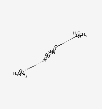 C=C(C)C(=O)OCCCCCCCCCCCCCCCCCCCOc1ccc(C(=O)Oc2ccc(OC(=O)c3ccc(OCCCCCCCCCCCCCCCCCCCOC(=O)C(=C)C)cc3)c(F)c2)cc1